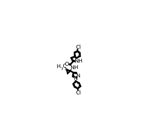 C[C@H]1C[C@@]1(NC(=O)c1cc2cc(Cl)ccc2[nH]1)c1cnn(-c2ccc(Cl)cc2)c1